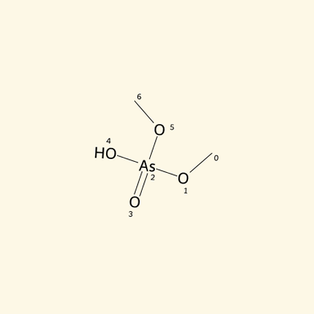 CO[As](=O)(O)OC